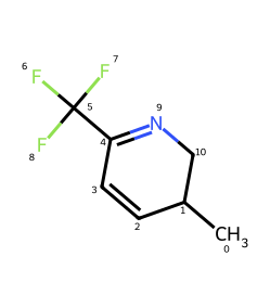 CC1C=CC(C(F)(F)F)=NC1